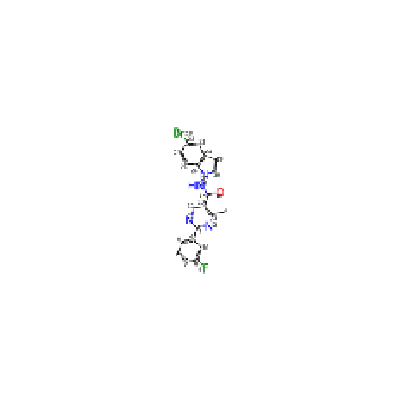 Cc1nc(-c2cccc(F)c2)ncc1C(=O)Nn1ccc2cc(Br)ccc21